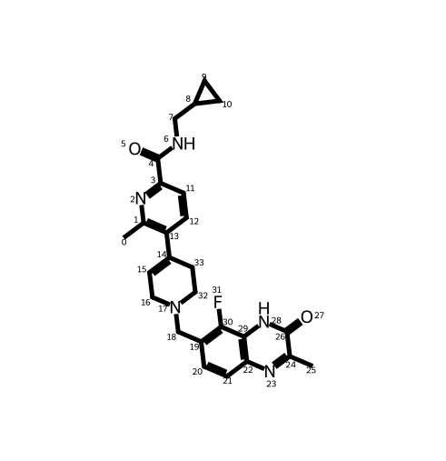 Cc1nc(C(=O)NCC2CC2)ccc1C1=CCN(Cc2ccc3nc(C)c(=O)[nH]c3c2F)CC1